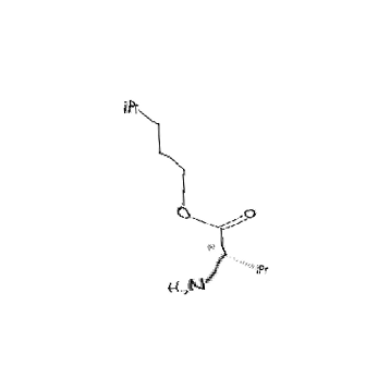 CC(C)CCCOC(=O)[C@@H](N)C(C)C